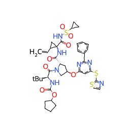 C=CC1C[C@]1(NC(=O)[C@@H]1C[C@@H](Oc2cc(Sc3nccs3)nc(-c3ccccc3)n2)CN1C(=O)[C@@H](NC(=O)OC1CCCC1)C(C)(C)C)C(=O)NS(=O)(=O)C1CC1